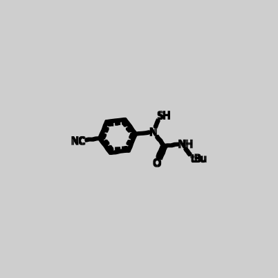 CC(C)(C)NC(=O)N(S)c1ccc(C#N)cc1